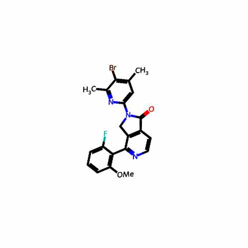 COc1cccc(F)c1-c1nccc2c1CN(c1cc(C)c(Br)c(C)n1)C2=O